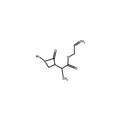 C=CCOC(=O)C(C)C1CN(C(C)=O)C1=O